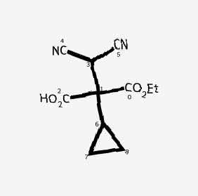 CCOC(=O)C(C(=O)O)(C(C#N)C#N)C1CC1